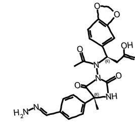 CC(=O)N([C@H](CC(=O)O)c1ccc2c(c1)OCO2)N1C(=O)N[C@](C)(c2ccc(C=NN)cc2)C1=O